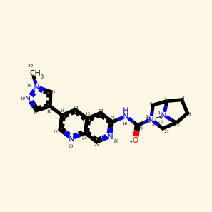 CN1C2CCC1CN(C(=O)Nc1cc3cc(-c4cnn(C)c4)cnc3cn1)C2